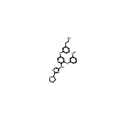 COc1cccc(Sc2cc(Oc3cccc(CCO)c3)cnc2Nc2nc(C3CCCO3)ns2)c1